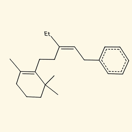 CCC(=CCc1ccccc1)CCC1=C(C)CCCC1(C)C